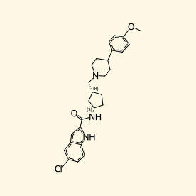 COc1ccc(C2CCN(C[C@@H]3CC[C@H](NC(=O)c4cc5cc(Cl)ccc5[nH]4)C3)CC2)cc1